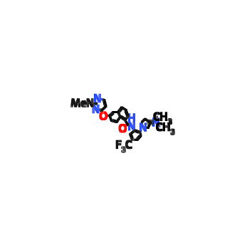 CNc1nccc(Oc2ccc3c(C(=O)Nc4cc(C(F)(F)F)ccc4N4CC[C@@H](N(C)C)C4)cccc3c2)n1